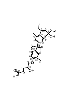 CC/C(=C/C(O)(CC)CC)c1ccc(C(CC)(CC)c2ccc(OC[C@@H](O)CCC(=O)O)c(C)c2)cc1C